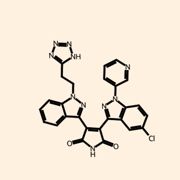 O=C1NC(=O)C(c2nn(-c3cccnc3)c3ccc(Cl)cc23)=C1c1nn(CCc2nnn[nH]2)c2ccccc12